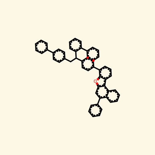 c1ccc(-c2ccc(CC(c3ccc(-c4cccc5c4oc4cc(-c6ccccc6)c6ccccc6c45)cc3)c3ccccc3-c3ccccc3)cc2)cc1